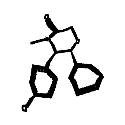 CN1C(=O)CO[C@@H](c2ccccc2)[C@H]1c1ccc(Cl)cc1